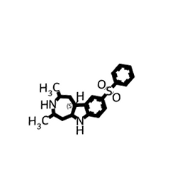 CC1CC2Nc3ccc(S(=O)(=O)c4ccccc4)cc3[C@@H]2CC(C)N1